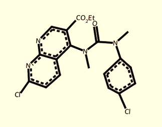 CCOC(=O)c1cnc2nc(Cl)ccc2c1N(C)C(=O)N(C)c1ccc(Cl)cc1